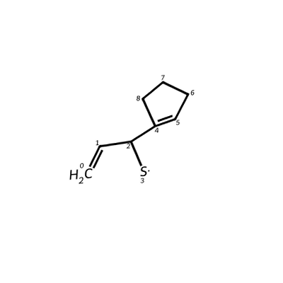 C=CC([S])C1=CCCC1